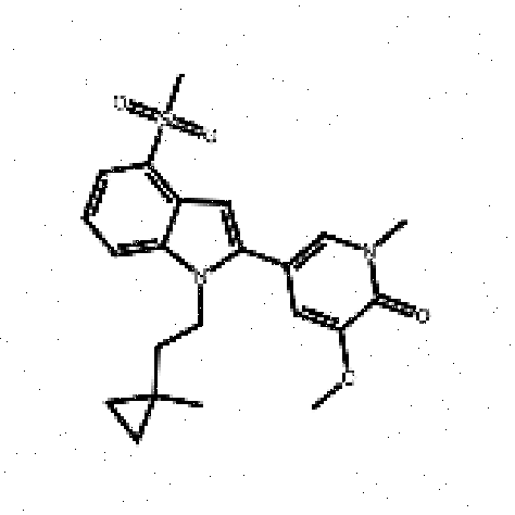 COc1cc(-c2cc3c(S(C)(=O)=O)cccc3n2CCC2(C)CC2)cn(C)c1=O